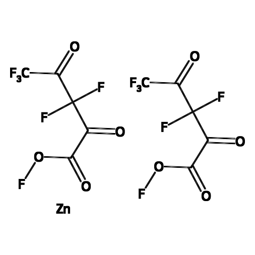 O=C(OF)C(=O)C(F)(F)C(=O)C(F)(F)F.O=C(OF)C(=O)C(F)(F)C(=O)C(F)(F)F.[Zn]